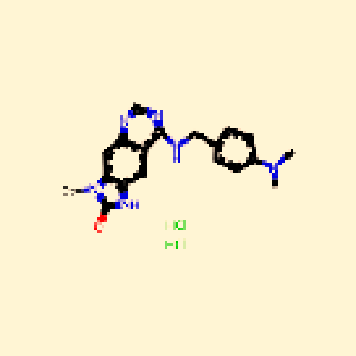 CCn1c(=O)[nH]c2cc3c(NCc4ccc(N(C)C)cc4)ncnc3cc21.Cl.Cl